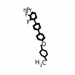 C=CC1CCC(COc2ccc(-c3ccc(-c4ccc(CCC)c(F)c4F)cc3)cc2)CC1